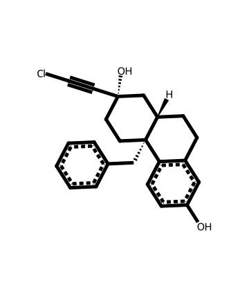 Oc1ccc2c(c1)CC[C@H]1C[C@](O)(C#CCl)CC[C@]21Cc1ccccc1